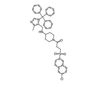 Cc1ncn(C(c2ccccc2)(c2ccccc2)c2ccccc2)c1CNC1CCN(C(=O)CCS(=O)(=O)c2ccc3cc(Cl)ccc3c2)CC1